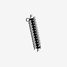 FC(F)(Cl)C(F)(F)C(F)(F)C(F)(F)C(F)(F)C(F)(F)C(F)(F)C(F)(F)C(F)(F)C(F)(F)C(F)(F)C(F)(F)I